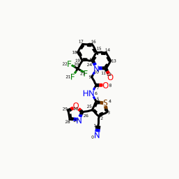 N#Cc1csc(NC(=O)Cn2c(=O)ccc3cccc(C(F)(F)F)c32)c1-c1ncco1